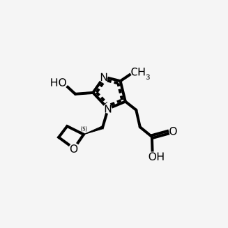 Cc1nc(CO)n(C[C@@H]2CCO2)c1CCC(=O)O